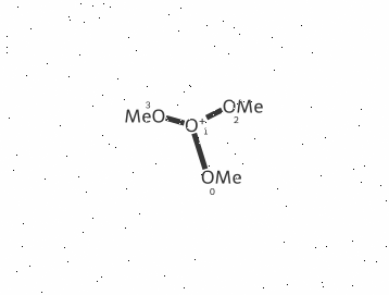 CO[O+](OC)OC